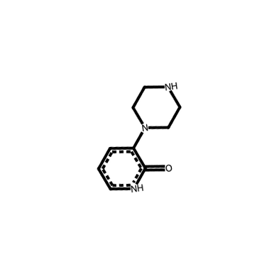 O=c1[nH]cccc1N1CCNCC1